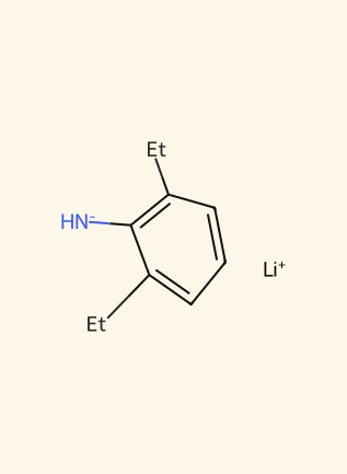 CCc1cccc(CC)c1[NH-].[Li+]